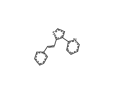 C(=Cc1sccc1-c1ccccn1)c1ccccc1